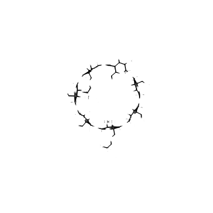 N[C@H](CSCC1O[C@H]2O[C@@H]3C(CO)O[C@H](O[C@@H]4C(CO)O[C@H](O[C@@H]5C(CO)O[C@H](O[C@@H]6C(CSC[C@@H](N)C(=O)O)O[C@H](O[C@@H]7C(CO)O[C@@H](O[C@@H]8C(CO)O[C@@H](O[C@H]1C(O)C2O)C(O)C8O)C(O)C7O)C(O)[C@H]6O)C(O)C5O)C(O)C4O)C(O)C3O)C(=O)O